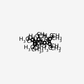 Cc1cc2c3cc(C(C)(C)C)cc4c5cc(C(C)(C)C)ccc5n(c2cc1C(C)(C)c1cc(C(C)(C)C)cc(-n2c5ccc(C(C)(C)C)cc5c5cc(C(C)(C)C)cc(C)c52)c1C)c43